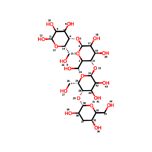 OCC1O[C@@H](O[C@H]2C(O)C(O)[C@H](O)O[C@H]2CO)C(O)[C@@H](O)[C@@H]1O[C@@H]1O[C@@H](CO)[C@@H](O[C@@H]2OC(CO)[C@@H](O)CC2O)C(O)C1O